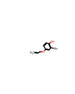 C=CCOc1ccc(O)c(C(C)(C)C)c1